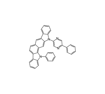 c1ccc(-c2cnc(-n3c4ccccc4c4cc5ccc6c7ccccc7n(-c7ccccc7)c6c5cc43)cn2)cc1